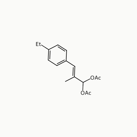 CCc1ccc(/C=C(\C)C(OC(C)=O)OC(C)=O)cc1